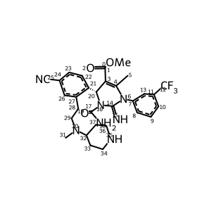 COC(=O)C1=C(C)N(c2cccc(C(F)(F)F)c2)C(=N)N(C(N)=O)[C@@H]1c1ccc(C#N)cc1CCN(C)C1CCNCC1